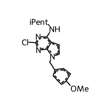 CCCC(C)Nc1nc(Cl)nc2c1ccn2Cc1ccc(OC)cc1